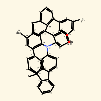 CC(C)(C)c1cc(-c2cccc3cccc(-c4ccccc4N(c4ccc5c(c4)C(C)(C)c4ccccc4-5)c4ccc(C(C)(C)C)cc4-c4ccccc4)c23)cc(C(C)(C)C)c1